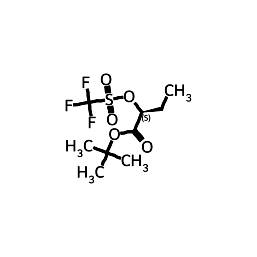 CC[C@H](OS(=O)(=O)C(F)(F)F)C(=O)OC(C)(C)C